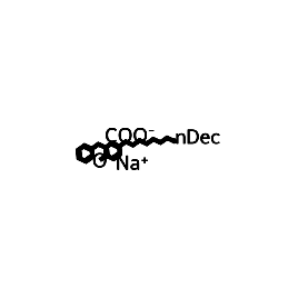 CCCCCCCCCCCCCCCCCCc1ccc2c(c1C(=O)[O-])Cc1ccccc1O2.[Na+]